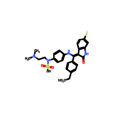 CCCS(=O)(=O)N(CCN(C)C)c1ccc(NC(=C2C(=O)Nc3cc(F)ccc32)c2ccc(CC(=O)O)cc2)cc1